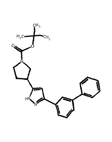 CC(C)(C)OC(=O)N1CCC(c2cc(-c3cccc(-c4ccccc4)c3)n[nH]2)C1